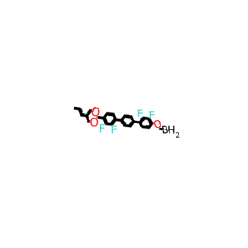 BCOc1ccc(-c2ccc(-c3ccc(C4OCC(/C=C/C)CO4)c(F)c3F)cc2)c(F)c1F